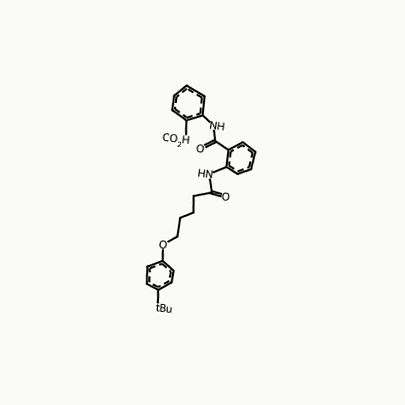 CC(C)(C)c1ccc(OCCCCC(=O)Nc2ccccc2C(=O)Nc2ccccc2C(=O)O)cc1